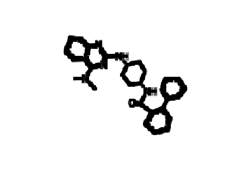 CN(C)c1nc(N[C@H]2CC[C@@H](NC(=O)c3ccccc3-c3ccccc3)CC2)nc2ccccc12